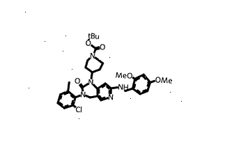 COc1ccc(CNc2cc3c(cn2)CN(c2c(C)cccc2Cl)C(=O)N3C2CCN(C(=O)OC(C)(C)C)CC2)c(OC)c1